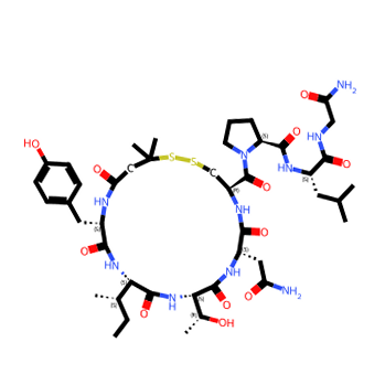 CC[C@H](C)[C@@H]1NC(=O)[C@H](Cc2ccc(O)cc2)NC(=O)CC(C)(C)SSC[C@@H](C(=O)N2CCC[C@H]2C(=O)N[C@@H](CC(C)C)C(=O)NCC(N)=O)NC(=O)[C@H](CC(N)=O)NC(=O)[C@H]([C@@H](C)O)NC1=O